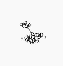 CC(=O)OC[C@@H]1CCCN1C(=O)c1cc(C)c(OCCCCCC(=O)OCC(Cl)(Cl)Cl)cc1NC(=O)OC(C)(C)C